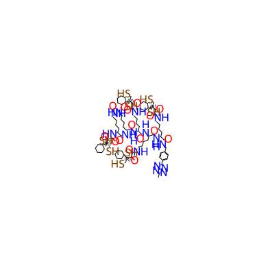 Cc1nnc(-c2ccc(CNC(=O)C(CCCCNC(=O)C(=O)[C@H](CS)C3(S)CCCCC3)NC(=O)C(CCCCNC(=O)C(=O)[C@H](CS)C3(S)CCCCC3)NC(=O)C(CCCCNC(=O)C(=O)[C@H](CS)C3(S)CCCCC3)NC(=O)C(CCCCNC=O)NC(=O)C(CCCCNC=O)NC(=O)C(=O)[C@H](CS)C3(S)CCCCC3)cc2)nn1